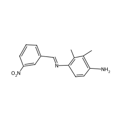 Cc1c(N)ccc(N=Cc2cccc([N+](=O)[O-])c2)c1C